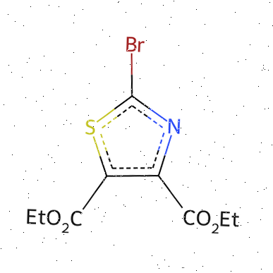 CCOC(=O)c1nc(Br)sc1C(=O)OCC